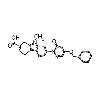 Cn1c2c(c3ccc(-n4ncc(OCc5ccccc5)cc4=O)cc31)CCN(C(=O)O)C2